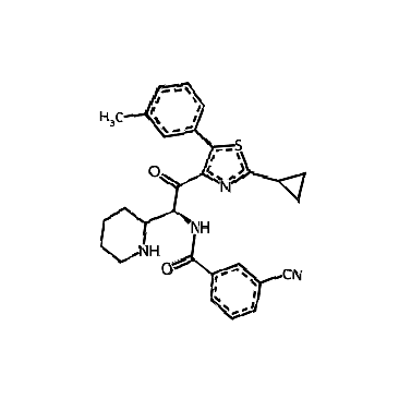 Cc1cccc(-c2sc(C3CC3)nc2C(=O)[C@@H](NC(=O)c2cccc(C#N)c2)C2CCCCN2)c1